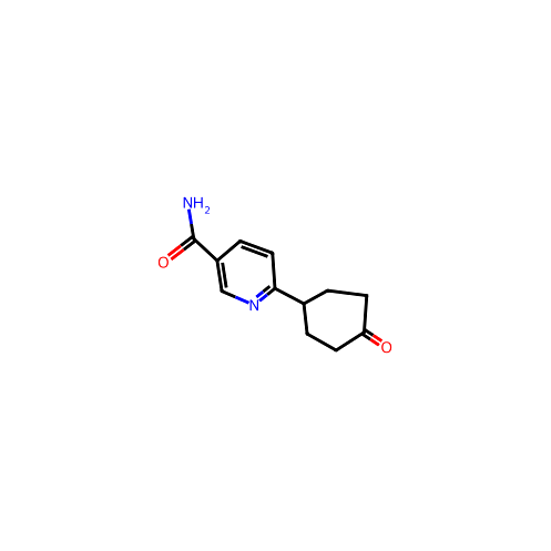 NC(=O)c1ccc(C2CCC(=O)CC2)nc1